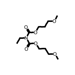 CCN(C(=O)OCCCOC)C(=O)OCCCOC